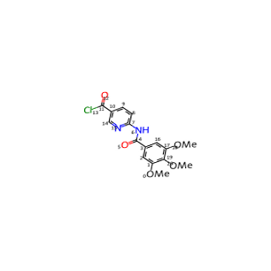 COc1cc(C(=O)Nc2ccc(C(=O)Cl)cn2)cc(OC)c1OC